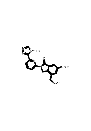 CC[C@H](C)n1cnnc1-c1cccc(N2Cc3c(CNC)cc(OC)cc3C2=O)n1